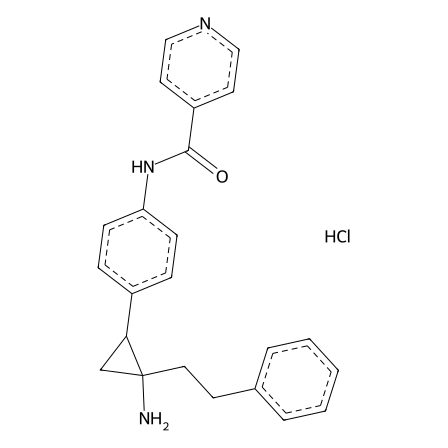 Cl.NC1(CCc2ccccc2)CC1c1ccc(NC(=O)c2ccncc2)cc1